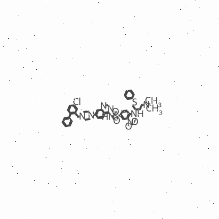 CN(C)CCC(CSc1ccccc1)Nc1ccc(S(=O)(=O)Nc2ncnc3cc(N4CCN(Cc5cc(Cl)ccc5-c5ccccc5)CC4)ccc23)cc1[N+](=O)[O-]